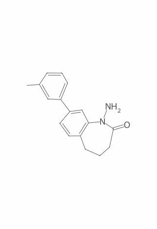 Cc1cccc(-c2ccc3c(c2)N(N)C(=O)CCC3)c1